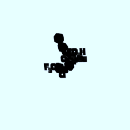 CCC(C)CNc1ccc(Oc2ccc(C(F)(F)F)cc2Cl)cc1C(=O)N[C@@H](Cc1ccc(-c2ccccc2)cc1)C(=O)O